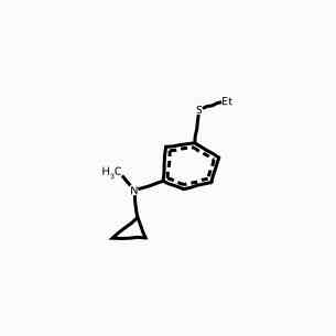 CCSc1cccc(N(C)C2CC2)c1